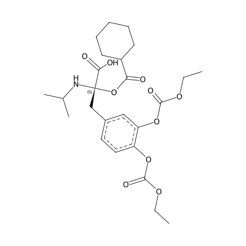 CCOC(=O)Oc1ccc(C[C@](NC(C)C)(OC(=O)C2CCCCC2)C(=O)O)cc1OC(=O)OCC